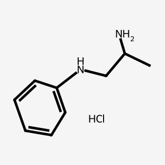 CC(N)CNc1ccccc1.Cl